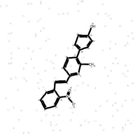 Cc1nc(C=Cc2ccccc2[N+](=O)[O-])ccc1-c1ccc(O)cc1